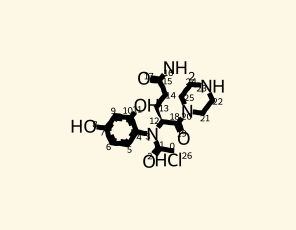 CC(=O)N(c1ccc(O)cc1O)[C@@H](CCC(N)=O)C(=O)N1CCNCC1.Cl